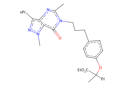 CCCc1nn(C)c2c(=O)n(CCCc3ccc(OC(C)(CC)C(=O)OCC)cc3)c(C)nc12